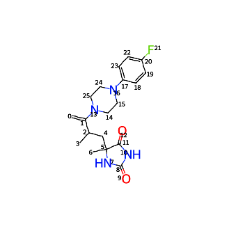 C=C(C(C)CC1(C)NC(=O)NC1=O)N1CCN(c2ccc(F)cc2)CC1